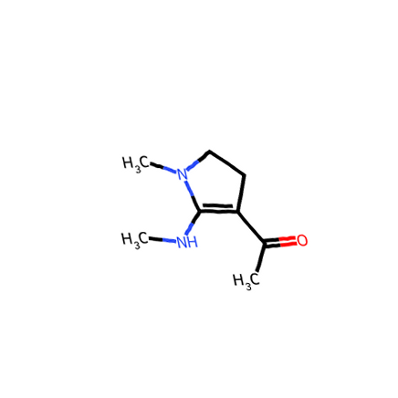 CNC1=C(C(C)=O)CCN1C